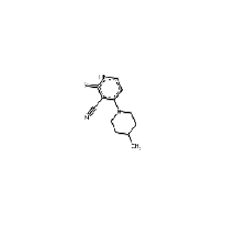 CC1CCN(c2cc[nH]c(=S)c2C#N)CC1